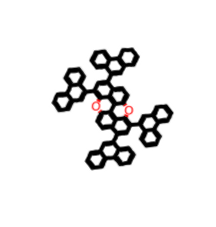 C1=Cc2cc(-c3cc(-c4cc5ccccc5c5ccccc45)c4oc5ccc6c(-c7cc8ccccc8c8ccccc78)cc(-c7cc8ccccc8c8ccccc78)c7oc8ccc3c4c8-c5c67)c3ccccc3c2CC1